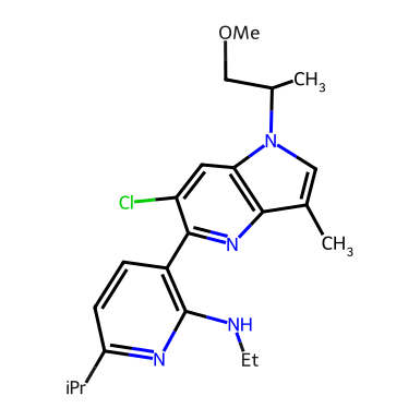 CCNc1nc(C(C)C)ccc1-c1nc2c(C)cn(C(C)COC)c2cc1Cl